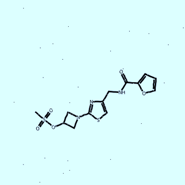 CS(=O)(=O)OC1CN(c2nc(CNC(=O)c3ccco3)cs2)C1